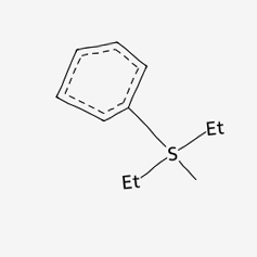 CCS(C)(CC)c1ccccc1